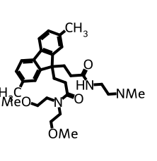 CNCCNC(=O)CCC1(CCC(=O)N(CCOC)CCOC)c2cc(C)ccc2-c2ccc(C)cc21